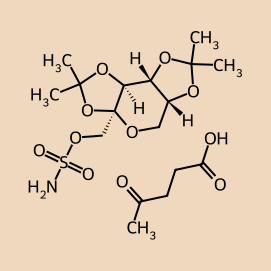 CC(=O)CCC(=O)O.CC1(C)O[C@@H]2[C@@H](CO[C@@]3(COS(N)(=O)=O)OC(C)(C)O[C@@H]23)O1